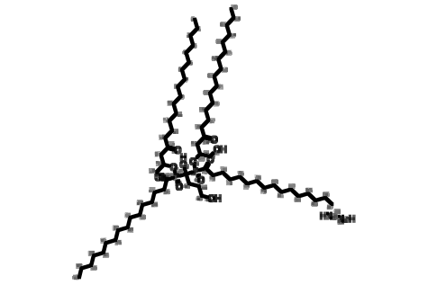 CCCCCCCCCCCCCCCC(=O)CC(CO)OP(=O)(C(=O)CCCCCCCCCCCCCCC)C(O)(CCCO)P(=O)(OC(CO)CC(=O)CCCCCCCCCCCCCCC)C(=O)CCCCCCCCCCCCCCC.[NaH].[NaH]